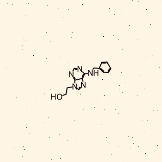 OCCn1cnc2c(NCc3ccccc3)ncnc21